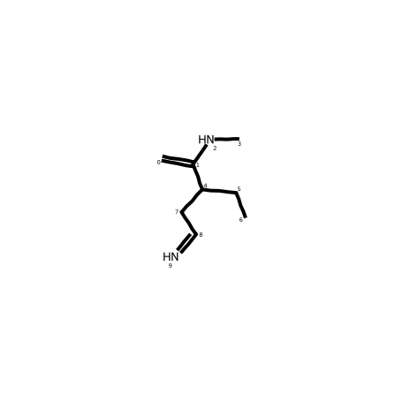 C=C(NC)C(CC)CC=N